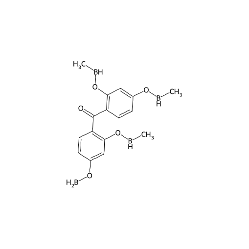 BOc1ccc(C(=O)c2ccc(OBC)cc2OBC)c(OBC)c1